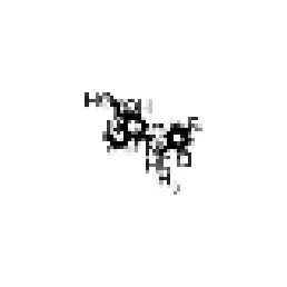 C[C@@H](NC(=O)[C@]1(F)CC[C@](O)(CCO)c2ncccc21)c1ccc(F)cc1Cl